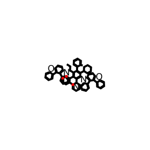 CCC(c1c(-c2ccccc2C)c(C2CCCCC2)c(-n2c3ccccc3c3c4c(ccc32)oc2ccccc24)c(C2CCCCC2)c1-c1ccccc1C#N)n1c2ccccc2c2c3c(ccc21)oc1ccccc13